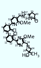 COc1nc(-c2cccc(-c3cccc(-c4cnc(CN5CC(C)(O)C5)c(OC)n4)c3Cl)c2Cl)ccc1CNC[C@@H]1CCC(=O)N1